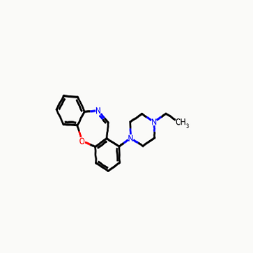 CCN1CCN(c2cccc3c2C=Nc2ccccc2O3)CC1